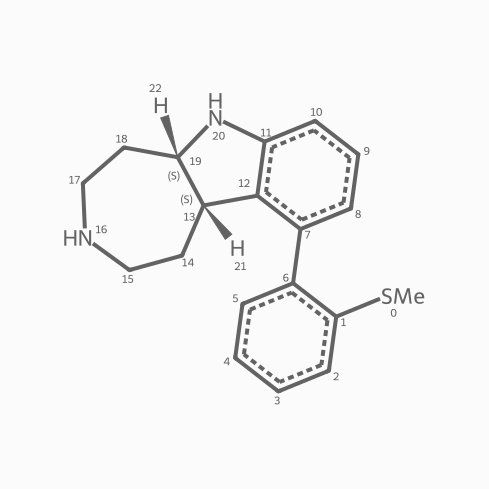 CSc1ccccc1-c1cccc2c1[C@@H]1CCNCC[C@@H]1N2